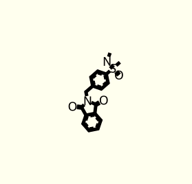 CN=S(C)(=O)c1ccc(CN2C(=O)c3ccccc3C2=O)cc1